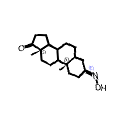 C[C@]12CC/C(=N\O)CC1CCC1C2CC[C@]2(C)C(=O)CCC12